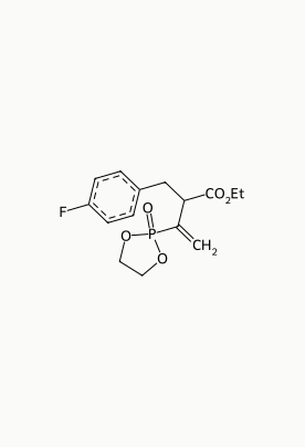 C=C(C(Cc1ccc(F)cc1)C(=O)OCC)P1(=O)OCCO1